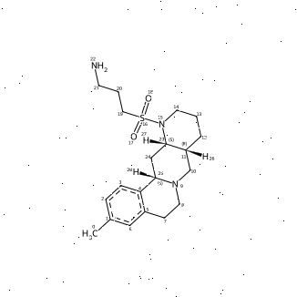 Cc1ccc2c(c1)CCN1C[C@H]3CCCN(S(=O)(=O)CCCN)[C@H]3C[C@@H]21